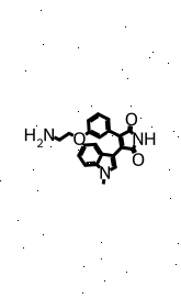 Cn1cc(C2=C(c3cccc(OCCN)c3)C(=O)NC2=O)c2ccccc21